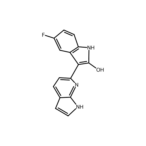 Oc1[nH]c2ccc(F)cc2c1-c1ccc2cc[nH]c2n1